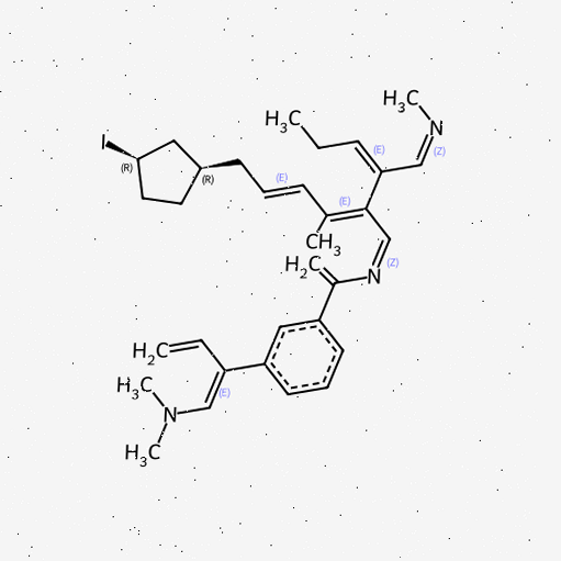 C=C/C(=C\N(C)C)c1cccc(C(=C)\N=C/C(C(/C=N\C)=C\CC)=C(C)/C=C/C[C@H]2CC[C@@H](I)C2)c1